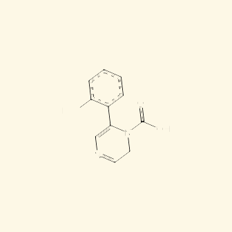 Cc1ccccc1C1=CN=CCN1C(=O)O